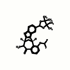 CN1C(=O)c2cccc(OC(F)F)c2[C@H]2C[C@@H]1c1nc3ccc(B4OC(C)(C)C(C)(C)O4)cc3n12